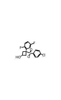 O=S(=O)(c1ccc(Cl)cc1)[C@]1(c2cc(F)ccc2F)C[C@@H](O)C1